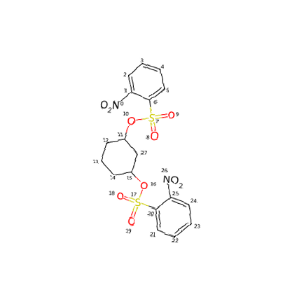 O=[N+]([O-])c1ccccc1S(=O)(=O)OC1CCCC(OS(=O)(=O)c2ccccc2[N+](=O)[O-])C1